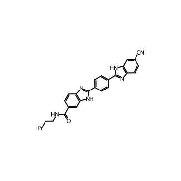 CC(C)CCNC(=O)c1ccc2nc(-c3ccc(-c4nc5ccc(C#N)cc5[nH]4)cc3)[nH]c2c1